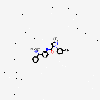 CCCCCNC(c1ccccc1)c1cccc(NC(=O)c2cc(C(F)(F)F)nn2-c2cccc(C#N)c2)c1